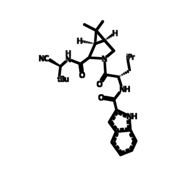 CC(C)C[C@H](NC(=O)c1cc2ccccc2[nH]1)C(=O)N1C[C@H]2[C@@H](C1C(=O)N[C@H](C#N)C(C)(C)C)C2(C)C